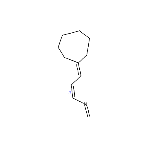 C=N/C=C\C=C1CCCCCC1